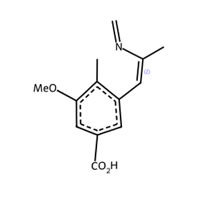 C=N/C(C)=C\c1cc(C(=O)O)cc(OC)c1C